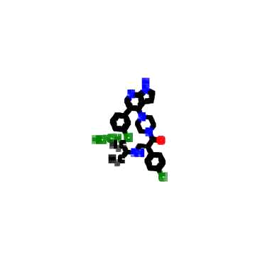 CC(C)NC[C@@H](C(=O)N1CCN(c2c(-c3cccc(Cl)c3)cnc3[nH]ccc23)CC1)c1ccc(Cl)cc1.Cl.Cl